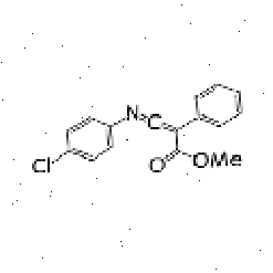 COC(=O)C(=C=Nc1ccc(Cl)cc1)c1ccccc1